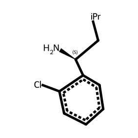 CC(C)C[C@H](N)c1ccccc1Cl